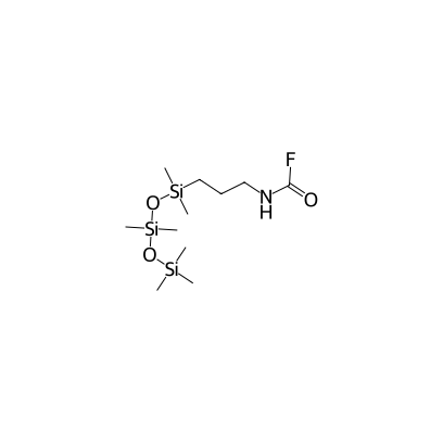 C[Si](C)(C)O[Si](C)(C)O[Si](C)(C)CCCNC(=O)F